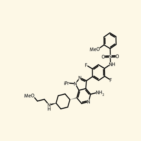 COCCN[C@H]1CC[C@H](c2cnc(N)c3c(-c4cc(F)c(NS(=O)(=O)c5ccccc5OC)cc4F)nn(C(C)C)c32)CC1